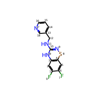 Fc1cc2c(cc1F)SN=C(NCc1cccnc1)N2